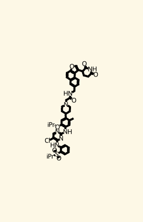 Cc1cc(Nc2ncc(Cl)c(Nc3ccccc3S(=O)(=O)C(C)C)n2)c(OC(C)C)cc1C1CCN(CC(=O)NCc2ccc3c(ccc4occ(C5CCC(=O)NC5=O)c43)c2)CC1